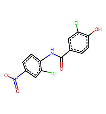 O=C(Nc1ccc([N+](=O)[O-])cc1Cl)c1ccc(O)c(Cl)c1